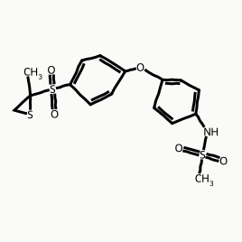 CC1(S(=O)(=O)c2ccc(Oc3ccc(NS(C)(=O)=O)cc3)cc2)CS1